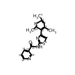 Cc1cc(C)c(-c2csc(NC(=O)c3cccnc3)n2)c(C)n1